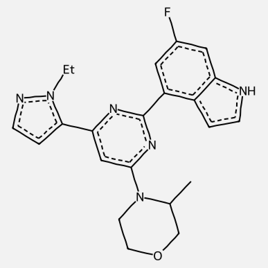 CCn1nccc1-c1cc(N2CCOCC2C)nc(-c2cc(F)cc3[nH]ccc23)n1